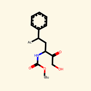 CC(=O)C(CC(NC(=O)OC(C)(C)C)C(=O)CO)c1ccccc1